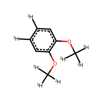 [2H]c1cc(OC([2H])([2H])[2H])c(OC([2H])([2H])[2H])cc1[2H]